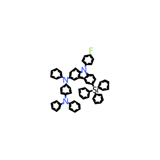 Fc1ccc(-n2c3ccc(N(c4ccccc4)c4ccc(N(c5ccccc5)c5ccccc5)cc4)cc3c3cc([Si](c4ccccc4)(c4ccccc4)c4ccccc4)ccc32)cc1